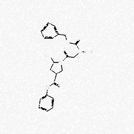 CN(CC(=O)N1CC(C(=O)Nc2ccccc2)CC1C#N)C(=O)OCc1ccccc1